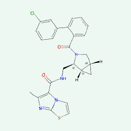 Cc1nc2sccn2c1C(=O)NC[C@@H]1[C@H]2C[C@H]2CN1C(=O)c1ccccc1-c1cccc(Cl)c1